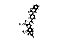 Cc1cc(CC(NC(=O)N2CCC(N3Cc4ccccc4NC3=O)CC2)C(=O)N(C)C)cc2oc(=O)[nH]c12